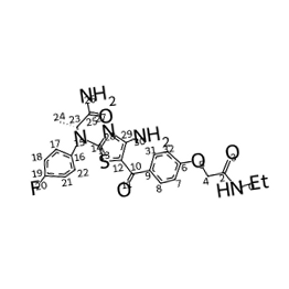 CCNC(=O)COc1ccc(C(=O)c2sc(N(c3ccc(F)cc3)[C@H](C)C(N)=O)nc2N)cc1